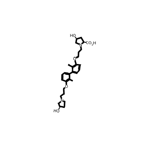 Cc1c(OCCCN2CC[C@@H](O)C2)cccc1-c1cccc(OCCCN2C[C@@H](O)C[C@H]2C(=O)O)c1C